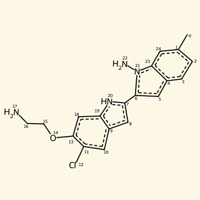 Cc1ccc2cc(-c3cc4cc(Cl)c(OCCN)cc4[nH]3)n(N)c2c1